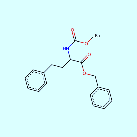 CC(C)(C)OC(=O)NC(CCc1ccccc1)C(=O)OCc1ccccc1